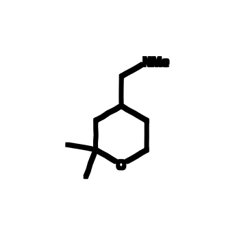 CNCC1CCOC(C)(C)C1